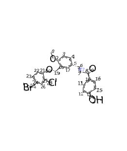 COc1ccc(/C=C/C(=O)c2ccc(O)cc2)cc1COc1ccc(Br)cc1Cl